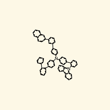 c1ccc(-c2ccccc2-c2ccc(N(c3ccc(-c4cccc(-c5ccc6ccccc6c5)c4)cc3)c3ccc(-c4ccccc4-n4c5ccccc5c5ccccc54)cc3)cc2)cc1